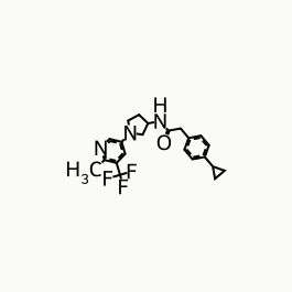 Cc1ncc(N2CCC(NC(=O)Cc3ccc(C4CC4)cc3)C2)cc1C(F)(F)F